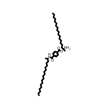 CCCCCCCCCCCCCCCCCC(C)NC(=O)c1ccc(C(=O)OC(C)(N)CCCCCCCCCCCCCCCCC)cc1